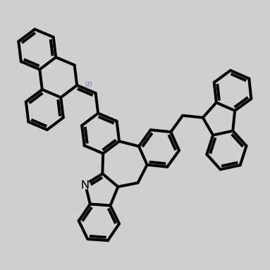 C(=C1\Cc2ccccc2-c2ccccc21)/c1ccc2c(c1)-c1cc(CC3c4ccccc4-c4ccccc43)ccc1CC1C2=Nc2ccccc21